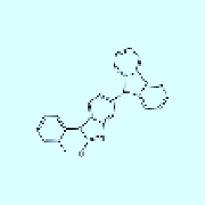 c1ccc2c(c1)COc1nc3cc(-n4c5ccccc5c5ccccc54)ccc3n1-2